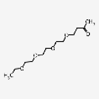 CCOCCOCCOCCOCCC(C)=O